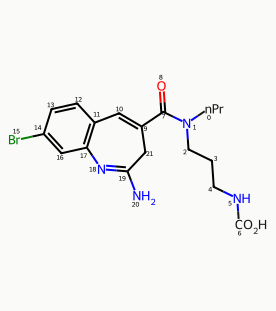 CCCN(CCCNC(=O)O)C(=O)C1=Cc2ccc(Br)cc2N=C(N)C1